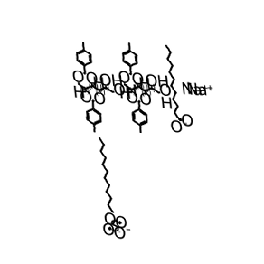 CCCCCCCCCCCC(=O)[O-].CCCCCCCCCCCCOS(=O)(=O)[O-].Cc1ccc(C2OC[C@@H]3OC(c4ccc(C)cc4)O[C@H]([C@H](O)CO)[C@@H]3O2)cc1.Cc1ccc(C2OC[C@@H]3OC(c4ccc(C)cc4)O[C@H]([C@H](O)CO)[C@@H]3O2)cc1.[Na+].[Na+]